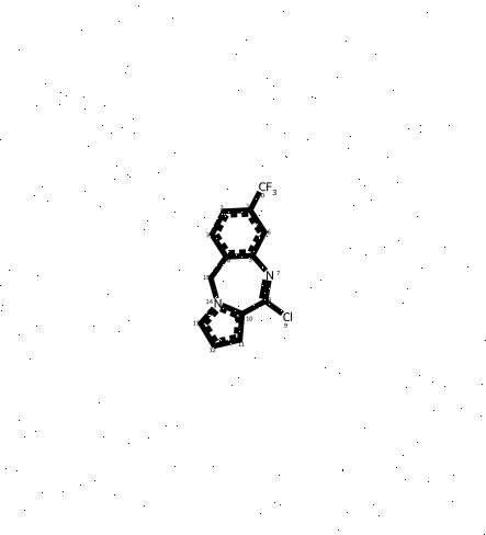 FC(F)(F)c1ccc2c(c1)N=C(Cl)c1cccn1C2